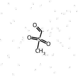 CS(=O)(=O)[C]=O